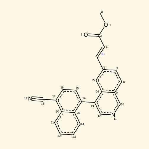 COC(=O)/C=C/c1ccc2cncc(-c3ccc(C#N)c4ccccc34)c2c1